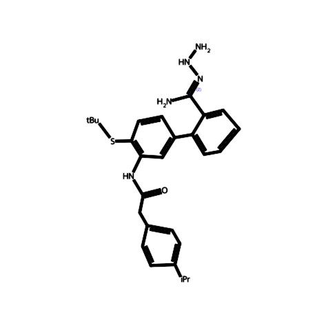 CC(C)c1ccc(CC(=O)Nc2cc(-c3ccccc3/C(N)=N/NN)ccc2SC(C)(C)C)cc1